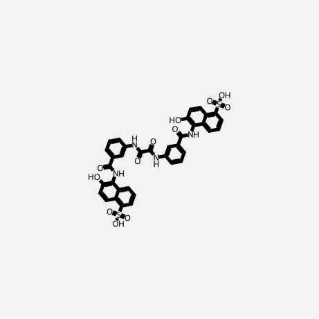 O=C(Nc1cccc(C(=O)Nc2c(O)ccc3c(S(=O)(=O)O)cccc23)c1)C(=O)Nc1cccc(C(=O)Nc2c(O)ccc3c(S(=O)(=O)O)cccc23)c1